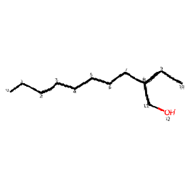 CCCCCCCCC(CC)CO